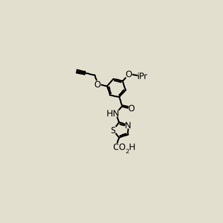 C#CCOc1cc(OC(C)C)cc(C(=O)Nc2ncc(C(=O)O)s2)c1